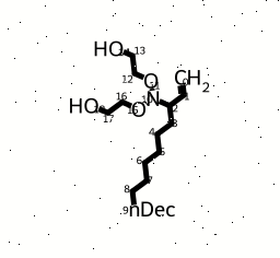 C=CC(CCCCCCCCCCCCCCCC)N(OCCO)OCCO